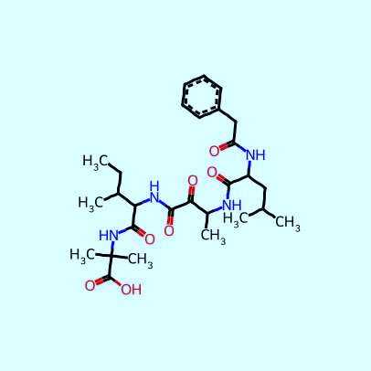 CCC(C)C(NC(=O)C(=O)C(C)NC(=O)C(CC(C)C)NC(=O)Cc1ccccc1)C(=O)NC(C)(C)C(=O)O